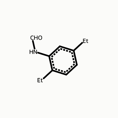 CCc1ccc(CC)c(NC=O)c1